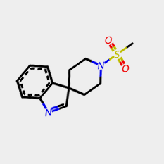 CS(=O)(=O)N1CCC2(C=Nc3ccccc32)CC1